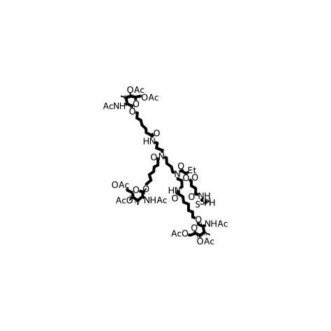 CCC(OC(=O)CCC(=O)N[SH](=P)=S)C(=O)N(CCCCN(CCCNC(=O)CCCCCCO[C@@H]1OC(COC(C)=O)[C@H](OC(C)=O)[C@H](C)C1NC(C)=O)C(=O)CCCCCCO[C@@H]1OC(COC(C)=O)[C@H](OC(C)=O)[C@H](C)C1NC(C)=O)CCCNC(=O)CCCCCCO[C@@H]1OC(COC(C)=O)[C@H](OC(C)=O)[C@H](C)C1NC(C)=O